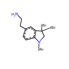 CC(C)(C)N1CC(C(C)(C)C)(C(C)(C)C)c2cc(CCN)ccc21